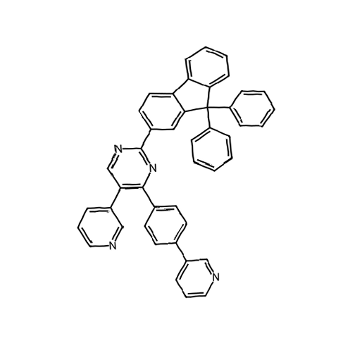 c1ccc(C2(c3ccccc3)c3ccccc3-c3ccc(-c4ncc(-c5cccnc5)c(-c5ccc(-c6cccnc6)cc5)n4)cc32)cc1